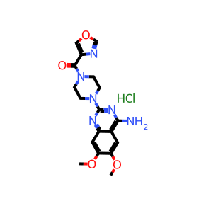 COc1cc2nc(N3CCN(C(=O)c4cocn4)CC3)nc(N)c2cc1OC.Cl